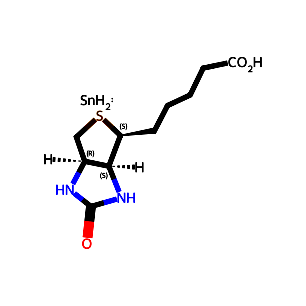 O=C(O)CCCC[C@@H]1SC[C@@H]2NC(=O)N[C@@H]21.[SnH2]